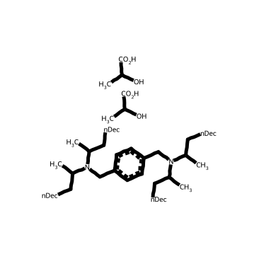 CC(O)C(=O)O.CC(O)C(=O)O.CCCCCCCCCCCC(C)N(Cc1ccc(CN(C(C)CCCCCCCCCCC)C(C)CCCCCCCCCCC)cc1)C(C)CCCCCCCCCCC